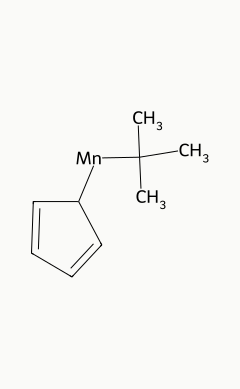 C[C](C)(C)[Mn][CH]1C=CC=C1